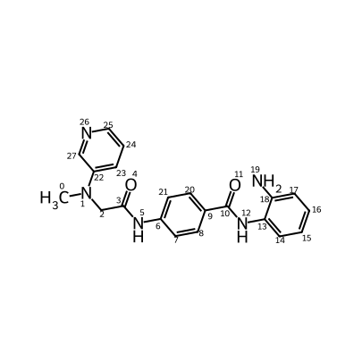 CN(CC(=O)Nc1ccc(C(=O)Nc2ccccc2N)cc1)c1cccnc1